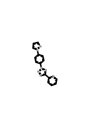 c1ccc(-c2nnn(-c3ccc(-n4cccn4)cc3)n2)nc1